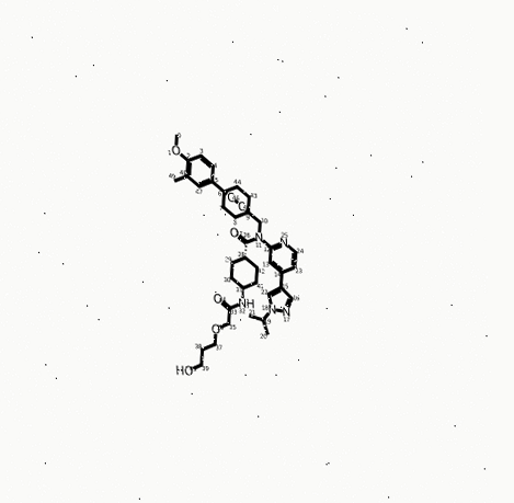 COc1ccc(C23CCC(CN(c4cc(-c5cnn(C(C)C)c5)ccn4)C(=O)[C@H]4CC[C@H](NC(=O)COCCCO)CC4)(CC2)CC3)cc1C